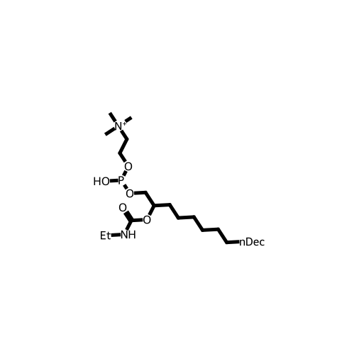 CCCCCCCCCCCCCCCCC(COP(O)OCC[N+](C)(C)C)OC(=O)NCC